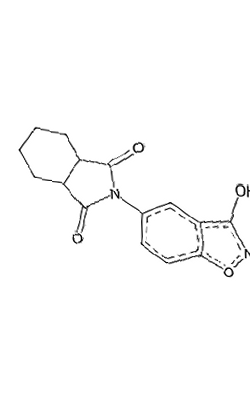 O=C1C2CCCCC2C(=O)N1c1ccc2onc(O)c2c1